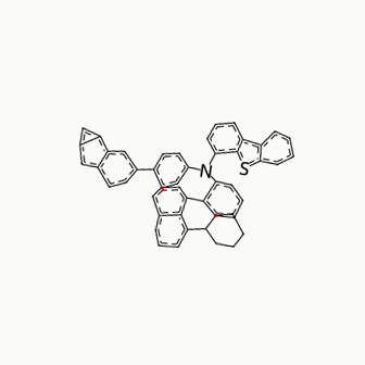 c1ccc(N(c2ccc(-c3ccc4cc5cc-5c4c3)cc2)c2cccc3c2sc2ccccc23)c(-c2cccc3cccc(C4CCCCC4)c23)c1